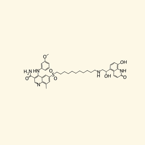 COc1cccc(Nc2c(C(N)=O)cnc3c(C)cc(S(=O)(=O)CCCCCCCCCCCNCC(O)c4ccc(O)c5[nH]c(=O)ccc45)cc23)c1